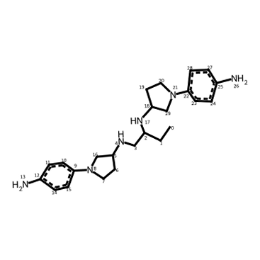 CCC(CNC1CCN(c2ccc(N)cc2)C1)NC1CCN(c2ccc(N)cc2)C1